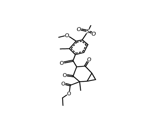 CCOC(=O)C1(C)C(=O)C(C(=O)c2ccc(S(C)(=O)=O)c(OC)c2C)C(=O)C2CC21